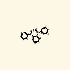 ClP(c1ccccc1)c1ccccc1P(Cl)c1ccccc1